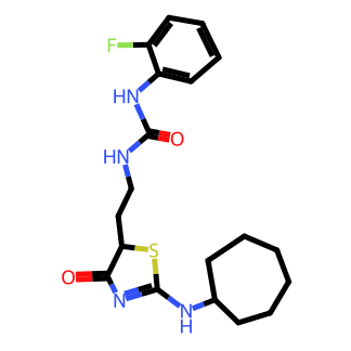 O=C(NCCC1SC(NC2CCCCCC2)=NC1=O)Nc1ccccc1F